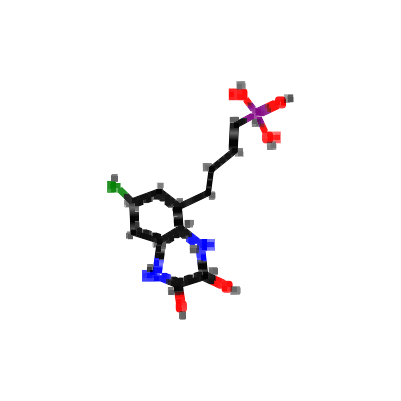 O=c1[nH]c2cc(Br)cc(CC/C=C/P(=O)(O)O)c2[nH]c1=O